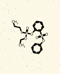 CCCSP(=O)(OCC)Oc1ccccc1S(=O)(=O)Oc1ccccc1